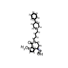 Cn1ccc2c1C(=O)N(CCCCN1CCC(c3ccccc3)CC1)CC/C2=N/O